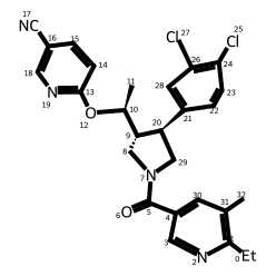 CCc1ncc(C(=O)N2C[C@H]([C@H](C)Oc3ccc(C#N)cn3)[C@@H](c3ccc(Cl)c(Cl)c3)C2)cc1C